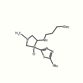 CCCCCCCCCCCCCNC1CN(C)C[N+]1([O-])c1nnc(C(C)(C)C)s1